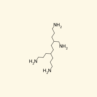 NCCCC(CN)CCC(CCCN)CCCN